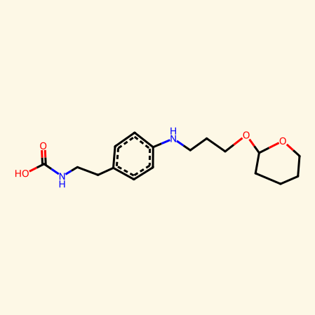 O=C(O)NCCc1ccc(NCCCOC2CCCCO2)cc1